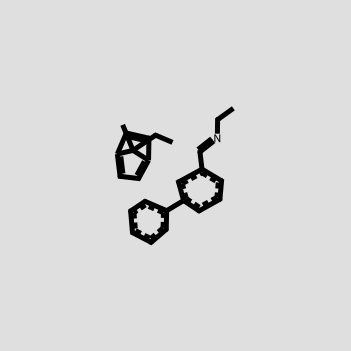 CCC1(C)C2=CC=C1C=C2.CCN=Cc1cccc(-c2ccccc2)c1